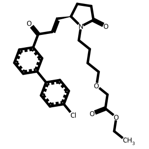 CCOC(=O)COCCCCN1C(=O)CC[C@@H]1C=CC(=O)c1cccc(-c2ccc(Cl)cc2)c1